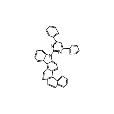 c1ccc(-c2cc(-c3ccccc3)nc(-n3c4ccccc4c4c5ccc6ccc7ccccc7c6c5ccc43)n2)cc1